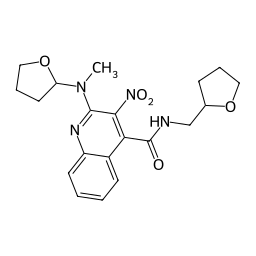 CN(c1nc2ccccc2c(C(=O)NCC2CCCO2)c1[N+](=O)[O-])C1CCCO1